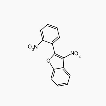 O=[N+]([O-])c1ccccc1-c1oc2ccccc2c1[N+](=O)[O-]